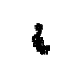 O=C(N[C@H]1CSCCN(C/C=C/c2ccccc2)C1=O)c1ccc(O)c(O)c1